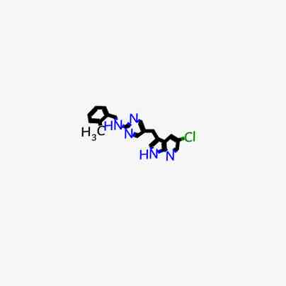 Cc1ccccc1CNc1ncc(Cc2c[nH]c3ncc(Cl)cc23)cn1